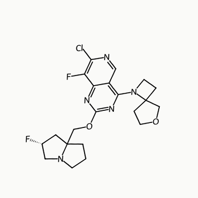 Fc1c(Cl)ncc2c(N3CCC34CCOC4)nc(OCC34CCCN3C[C@H](F)C4)nc12